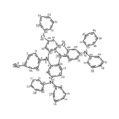 CC(C)(C)c1ccc(N2c3cc(N(c4ccccc4)c4ccccc4)ccc3B3c4ccc(N(c5ccccc5)c5ccccc5)cc4Oc4cc(Oc5ccccc5)cc2c43)cc1